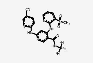 [2H]C([2H])([2H])NC(=O)c1cnc(Nc2ccc(C#N)cn2)cc1Nc1ncccc1S(C)(=O)=O